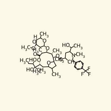 CC[C@@H](O)[C@@](C)(O)[C@@H]1OC(=O)[C@H](C)[C@@H](O[C@H]2CC3(OC)O[C@H]3C(C)O2)[C@H](C)[C@@H](OOC(C)CC(C(C)O)N(C)Cc2ccc(C(F)(F)F)cc2)[C@@]2(C)CC(C)C(O2)[C@@H]1C